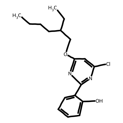 CCCCC(CC)COc1cc(Cl)nc(-c2ccccc2O)n1